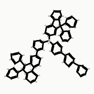 c1ccc(-c2ccc(-c3ccc(N(c4cccc(-c5ccc6c(c5)c(-c5ccccc5)c(-c5ccccc5)c5ccccc56)c4)c4ccc5c(c4)C(c4ccccc4)(c4ccccc4)c4ccccc4-5)cc3)cc2)cc1